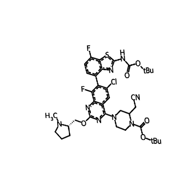 CN1CCC[C@H]1COc1nc(N2CCN(C(=O)OC(C)(C)C)C(CC#N)C2)c2cc(Cl)c(-c3ccc(F)c4sc(NC(=O)OC(C)(C)C)nc34)c(F)c2n1